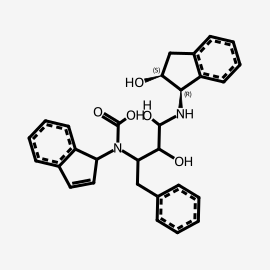 O=C(O)N(C1C=Cc2ccccc21)C(Cc1ccccc1)C(O)C(O)N[C@@H]1c2ccccc2C[C@@H]1O